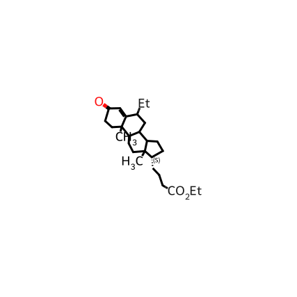 CCOC(=O)CCC[C@H]1CCC2C3CC(CC)C4=CC(=O)CCC4(C)C3CCC21C